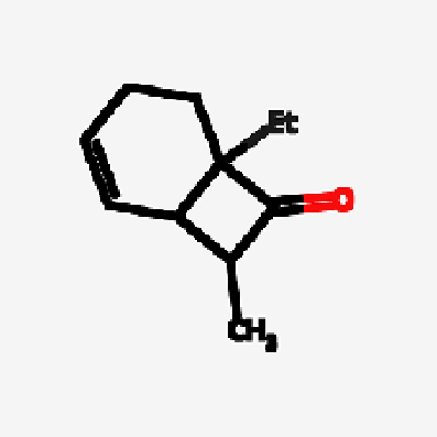 CCC12CCC=CC1C(C)C2=O